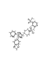 O=S(=O)(Cc1cccc(C(F)(F)F)c1)N1CCC(c2nc(-c3ccc4c(c3)OCO4)c(-c3ccccn3)[nH]2)CC1